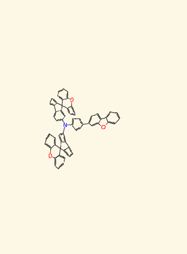 c1ccc2c(c1)Oc1ccccc1C21c2ccccc2-c2cc(N(c3ccc(-c4ccc5c(c4)oc4ccccc45)cc3)c3ccc4c(c3)C3(c5ccccc5Oc5ccccc53)c3ccccc3-4)ccc21